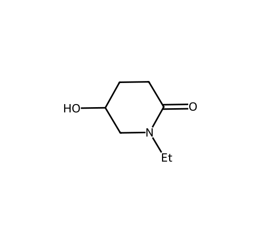 CCN1CC(O)CCC1=O